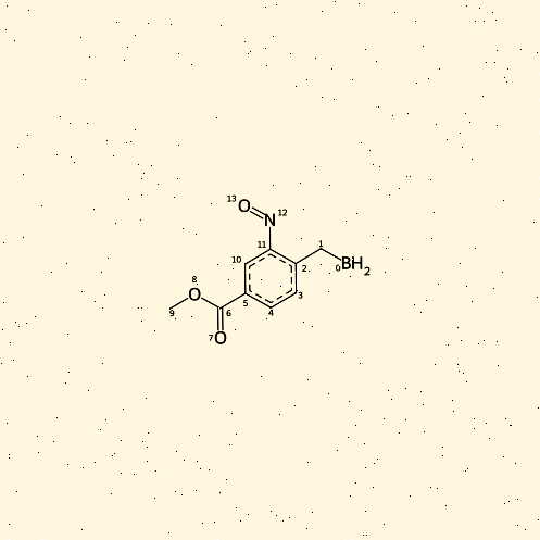 BCc1ccc(C(=O)OC)cc1N=O